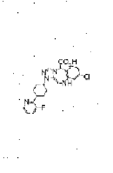 O=C(O)C1C2=C(C=C(Cl)CC2)NC=C2N1C=NN2C1CCC(c2ncccc2F)CC1